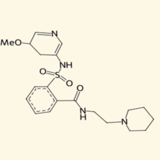 COC1C=NC=C(NS(=O)(=O)c2ccccc2C(=O)NCCN2CCCCC2)C1